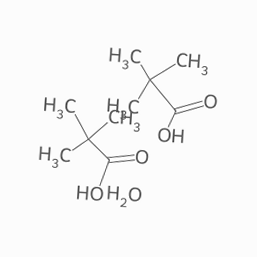 CC(C)(C)C(=O)O.CC(C)(C)C(=O)O.O